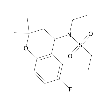 CCN(C1CC(C)(C)Oc2ccc(F)cc21)S(=O)(=O)CC